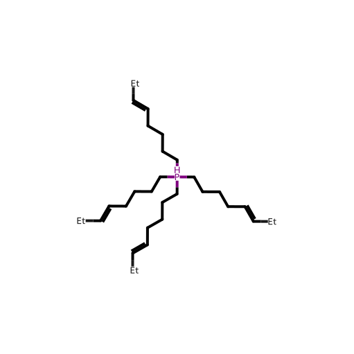 CCC=CCCCC[PH](CCCCC=CCC)(CCCCC=CCC)CCCCC=CCC